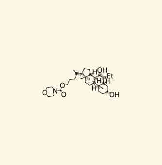 CC[C@H]1[C@@H](O)[C@@H]2[C@H](CC[C@]3(C)[C@@H]([C@H](C)CCCOC(=O)N4CCOCC4)CC[C@@H]23)[C@@]2(C)CC[C@@H](O)C[C@@H]12